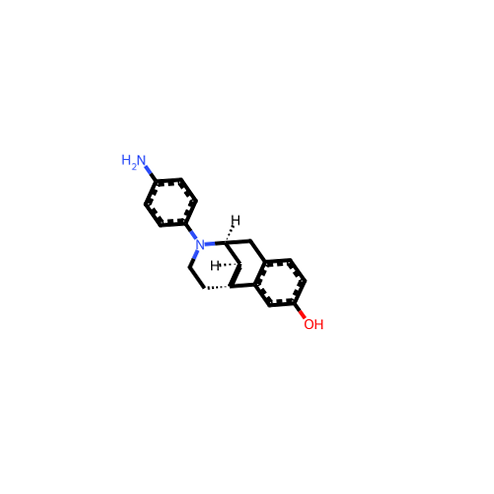 Nc1ccc(N2CC[C@@]34CCCC[C@@H]3[C@@H]2Cc2ccc(O)cc24)cc1